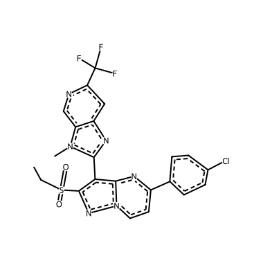 CCS(=O)(=O)c1nn2ccc(-c3ccc(Cl)cc3)nc2c1-c1nc2cc(C(F)(F)F)ncc2n1C